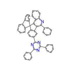 c1ccc(-c2nc(-c3ccccc3)nc(-c3ccc4c(c3)-c3c(-c5ccccc5)nc5ccccc5c3C43c4ccccc4-c4ccccc43)n2)cc1